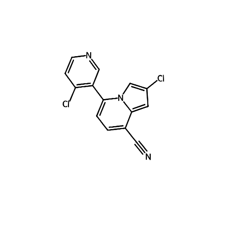 N#Cc1ccc(-c2cnccc2Cl)n2cc(Cl)cc12